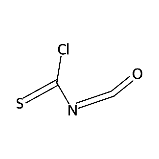 O=C=NC(=S)Cl